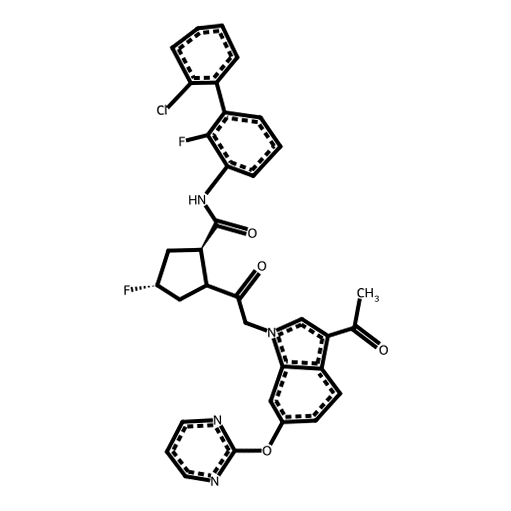 CC(=O)c1cn(CC(=O)C2C[C@H](F)C[C@H]2C(=O)Nc2cccc(-c3ccccc3Cl)c2F)c2cc(Oc3ncccn3)ccc12